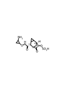 NC1CC1ONC(=O)[C@@H]1C2CC2[C@@H]2CN1C(=O)N2OS(=O)(=O)O